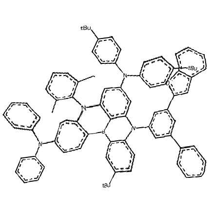 Cc1cccc(C)c1N1c2cc(N(c3ccccc3)c3ccccc3)ccc2B2c3cc(C(C)(C)C)ccc3N(c3cc(-c4ccccc4)cc(-c4cc5ccccc5o4)c3)c3cc(N(c4ccc(C(C)(C)C)cc4)c4ccc(C(C)(C)C)cc4)cc1c32